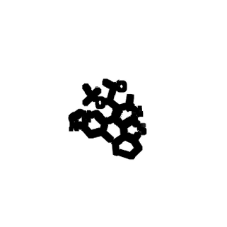 CC(=O)C(OC(C)(C)C)c1c(C)nc2sc3c(c2c1-c1cn2ccnc2cc1C)CCCC3